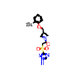 CC(C)(C)c1ccccc1OCC1CN(C(=O)CS(=O)(=O)c2nc[nH]n2)C1